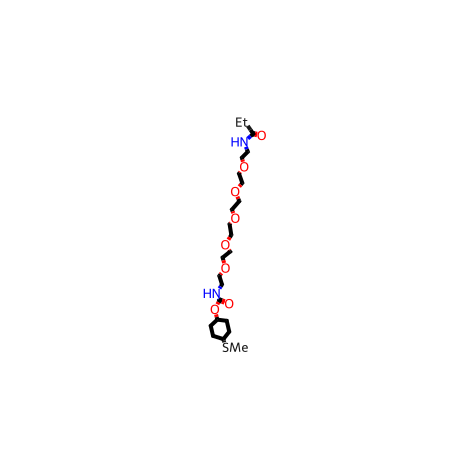 CCC(=O)NCCOCCOCCOCCOCCOCCNC(=O)OC1CCC(SC)CC1